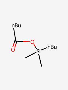 [CH2]CCCC(=O)O[Si](C)(C)CCCC